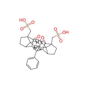 CC1(C)C2CCC1(CS(=O)(=O)O)C(=O)C2C(c1ccccc1)C1C(=O)C2(CS(=O)(=O)O)CCC1C2(C)C